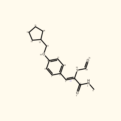 CNC(=O)/C(=C/c1ccc(OCC2CCCC2)cc1)SC=O